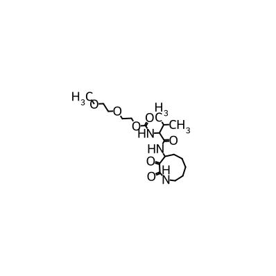 COCCOCCOC(=O)NC(C(=O)NC1CCCCCNC(=O)C1=O)C(C)C